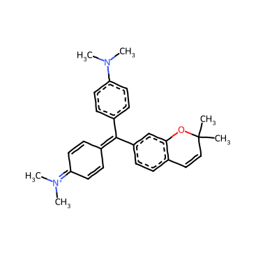 CN(C)c1ccc(C(=C2C=CC(=[N+](C)C)C=C2)c2ccc3c(c2)OC(C)(C)C=C3)cc1